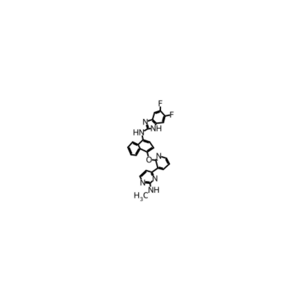 CNc1nccc(-c2cccnc2Oc2ccc(Nc3nc4cc(F)c(F)cc4[nH]3)c3ccccc23)n1